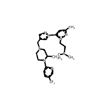 Cc1cc(-n2cc(CN3CCN(c4ccc(C(F)(F)F)cn4)C(C)C3)cn2)n(CCN(C)C)n1